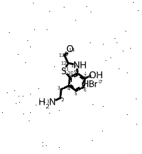 Br.NCCc1ccc(O)c2c1SC(C=O)N2